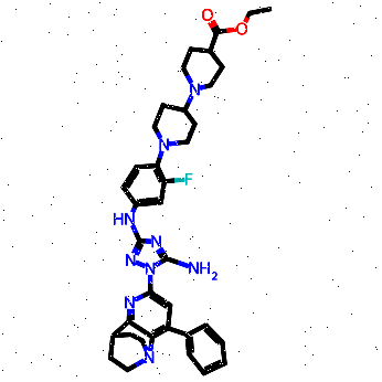 CCOC(=O)C1CCN(C2CCN(c3ccc(Nc4nc(N)n(-c5cc(-c6ccccc6)c6c(n5)C5CCN6CC5)n4)cc3F)CC2)CC1